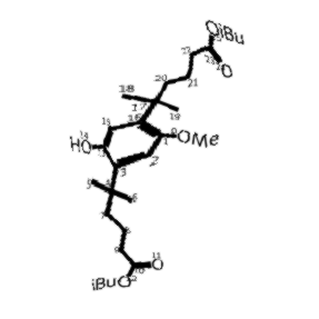 COc1cc(C(C)(C)CCCC(=O)OCC(C)C)c(O)cc1C(C)(C)CCCC(=O)OCC(C)C